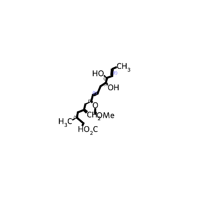 C=C(C[C@H](C)CC(=O)O)C[C@@H](/C=C/C[C@H](O)[C@@H](O)/C=C/C)OCOC